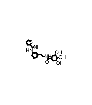 N=C(Nc1cccc(CCNC(=O)c2cc(O)c(O)c(O)c2)c1)c1cccs1